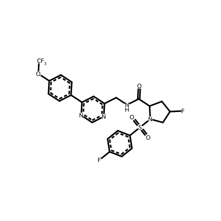 O=C(NCc1cc(-c2ccc(OC(F)(F)F)cc2)ncn1)C1CC(F)CN1S(=O)(=O)c1ccc(F)cc1